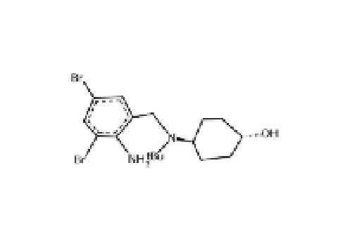 CC(C)(C)N(Cc1cc(Br)cc(Br)c1N)[C@H]1CC[C@H](O)CC1